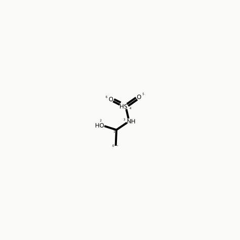 [CH2]C(O)N[SH](=O)=O